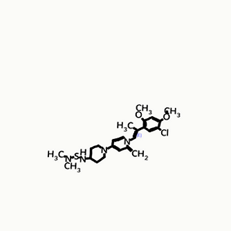 C=C1C=C(N2CCC(NSN(C)C)CC2)C=CN1/C=C(\C)c1cc(Cl)c(OC)cc1OC